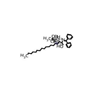 CCCCCCCCCCCCC/C=C/C(O[Si](C)(C)C(C)(C)C)C(CO)N=C(c1ccccc1)c1ccccc1